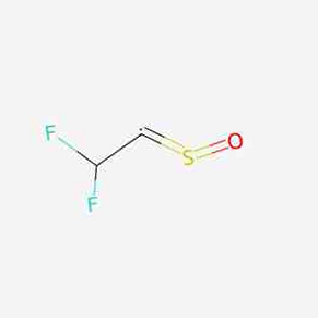 O=S=[C]C(F)F